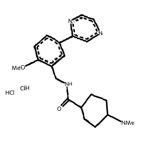 CNC1CCC(C(=O)NCc2cc(-c3cnccn3)ccc2OC)CC1.Cl.Cl